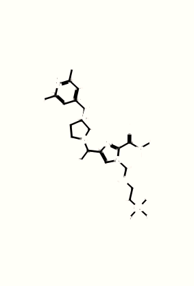 CNC(=O)c1nc(C(C)N2CC[C@@H](Cc3cc(C)nc(C)c3)C2)cn1COCC[Si](C)(C)C